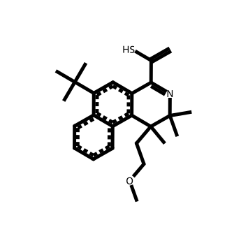 C=C(S)C1=NC(C)(C)C(C)(CCOC)c2c1cc(C(C)(C)C)c1ccccc21